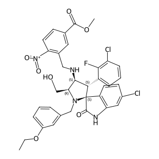 CCOc1cccc(CN2[C@@H](CO)[C@@H](NCc3cc(C(=O)OC)ccc3[N+](=O)[O-])[C@H](c3cccc(Cl)c3F)[C@]23C(=O)Nc2cc(Cl)ccc23)c1